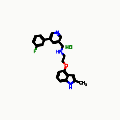 Cc1cc2c(OCCNCc3cncc(-c4cccc(F)c4)c3)cccc2[nH]1.Cl